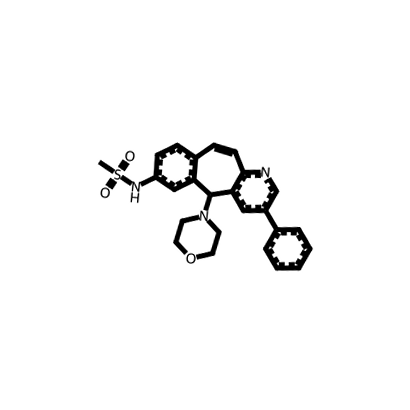 CS(=O)(=O)Nc1ccc2c(c1)C(N1CCOCC1)c1cc(-c3ccccc3)cnc1C=C2